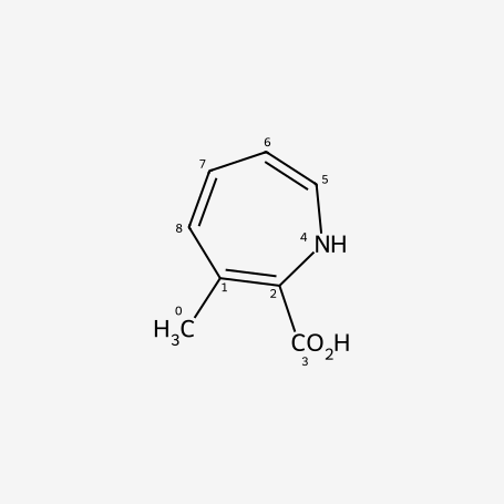 CC1=C(C(=O)O)NC=CC=C1